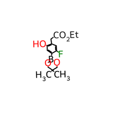 CCOC(=O)Cc1cc(F)c(B2OCC(C)(C)CO2)cc1O